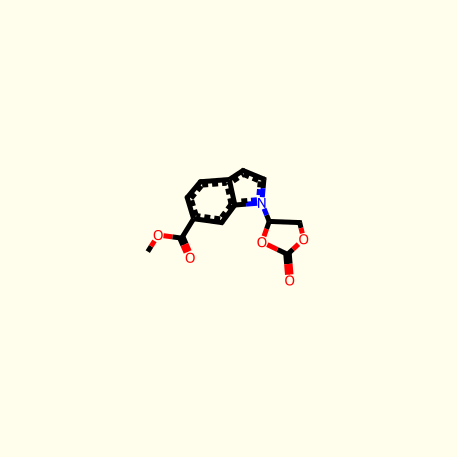 COC(=O)c1ccc2ccn(C3COC(=O)O3)c2c1